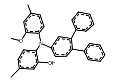 COc1cc(C)ccc1N(c1ccc(-c2ccccc2)c(-c2ccccc2)c1)c1ccc(C)cc1O